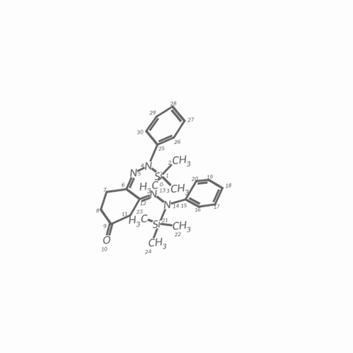 C[Si](C)(C)N(/N=C1/CCC(=O)C/C1=N\N(c1ccccc1)[Si](C)(C)C)c1ccccc1